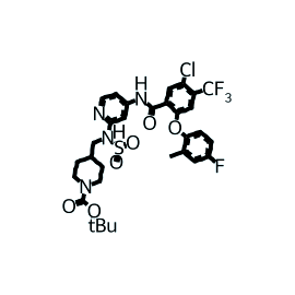 Cc1cc(F)ccc1Oc1cc(C(F)(F)F)c(Cl)cc1C(=O)Nc1ccnc(N(CC2CCN(C(=O)OC(C)(C)C)CC2)[SH](=O)=O)c1